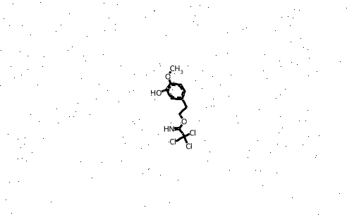 COc1ccc(CCOC(=N)C(Cl)(Cl)Cl)cc1O